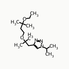 CCOC(C)(C)CCOC(C)(C)Cc1cn(C(C)C)nn1